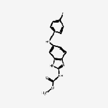 COC(=O)Nc1nc2ccc(Nc3ccc(F)cc3)cc2[nH]1